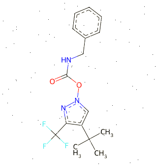 CC(C)(C)c1cn(OC(=O)NCc2ccccc2)nc1C(F)(F)F